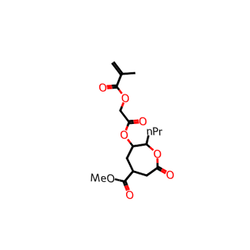 C=C(C)C(=O)OCC(=O)OC1CC(C(=O)OC)CC(=O)OC1CCC